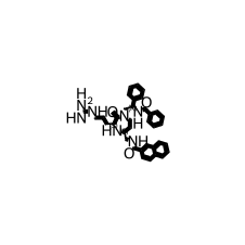 N=C(N)NCCC[C@@H]1N[C@H](CNC(=O)c2ccc3ccccc3c2)CCN(C[C@H](NC(=O)c2ccccc2)c2ccccc2)C1=O